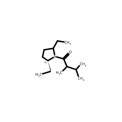 CCC1CC[C@@H](CC)N1C(=O)C(C)C(C)C